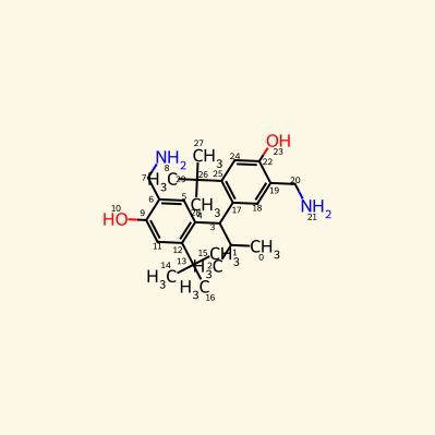 CC(C)C(c1cc(CN)c(O)cc1C(C)(C)C)c1cc(CN)c(O)cc1C(C)(C)C